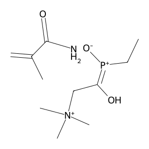 C=C(C)C(N)=O.CC/[P+]([O-])=C(\O)C[N+](C)(C)C